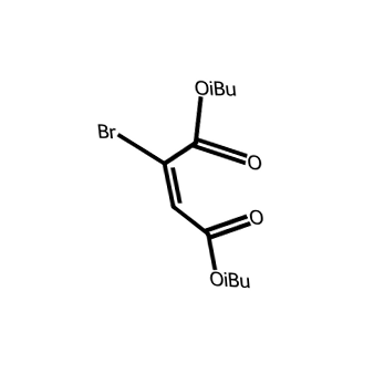 CC(C)COC(=O)/C=C(/Br)C(=O)OCC(C)C